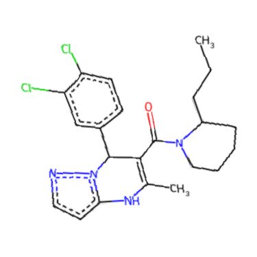 CCCC1CCCCN1C(=O)C1=C(C)Nc2ccnn2C1c1ccc(Cl)c(Cl)c1